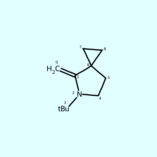 C=C1N(C(C)(C)C)CCC12CC2